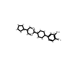 Fc1ccc(C2CCC(C3OCC(C4CCCC4)CO3)CC2)cc1F